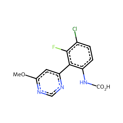 COc1cc(-c2c(NC(=O)O)ccc(Cl)c2F)ncn1